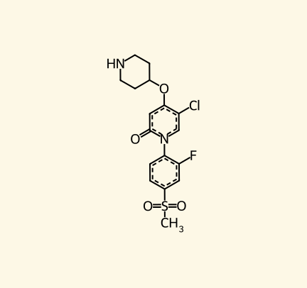 CS(=O)(=O)c1ccc(-n2cc(Cl)c(OC3CCNCC3)cc2=O)c(F)c1